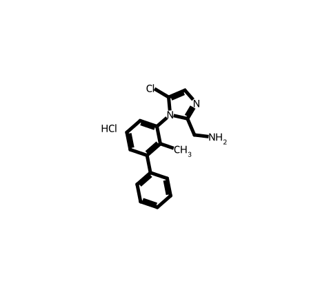 Cc1c(-c2ccccc2)cccc1-n1c(Cl)cnc1CN.Cl